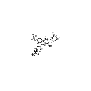 CC(=O)NC(Cc1cc(F)cc(F)c1)C(O)CNC(c1cccc(CC(C)(C)C)c1)C1CCN(S(=O)(=O)O)CC1